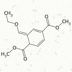 CCOC=C1C=C(C(=O)OC)C=CC1C(=O)OC